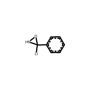 ClC1(c2ccccc2)NO1